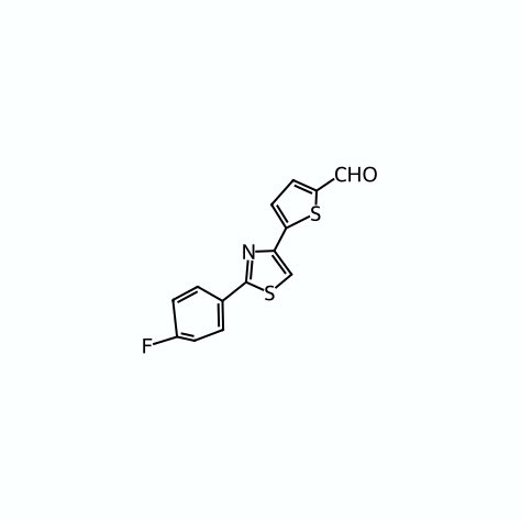 O=Cc1ccc(-c2csc(-c3ccc(F)cc3)n2)s1